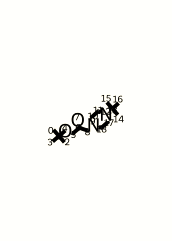 CC(C)(C)OCC(=O)CN1CCN(C(C)(C)C)CC1